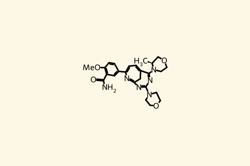 COc1ccc(C2=CC=C3CC(=N2)N=C(N2CCOCC2)N=C3N2CCOC[C@@H]2C)cc1C(N)=O